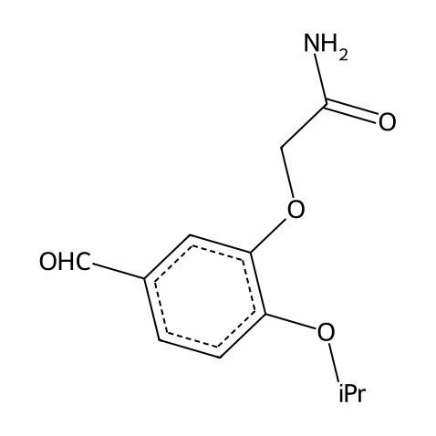 CC(C)Oc1ccc(C=O)cc1OCC(N)=O